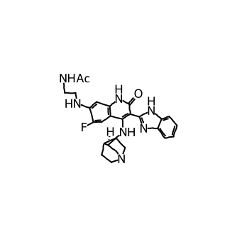 CC(=O)NCCNc1cc2[nH]c(=O)c(-c3nc4ccccc4[nH]3)c(N[C@H]3CN4CCC3CC4)c2cc1F